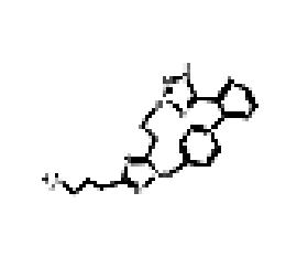 CC(C)CCc1nc(CCCN)nn1Cc1ccc(-c2ccccc2-c2nnn[nH]2)cc1